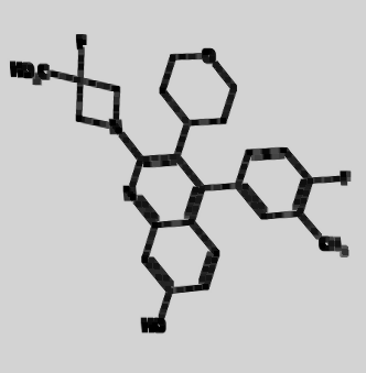 Cc1cc(-c2c(C3CCOCC3)c(N3CC(F)(C(=O)O)C3)nc3cc(O)ccc23)ccc1F